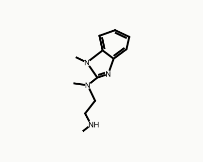 CNCCN(C)c1nc2ccccc2n1C